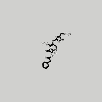 CCOC(=O)Cc1nc(SC2=C(C(=O)O)N3C(=O)[C@@H](NC(=O)Cc4ccccc4)[C@@H]3SC2)n[nH]1